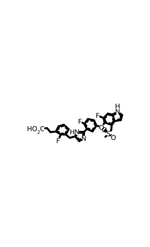 CS(=O)(=O)Cc1c(Oc2ccc(F)c(-c3ncc(Cc4cccc(CCC(=O)O)c4F)[nH]3)c2)c(F)cc2[nH]ccc12